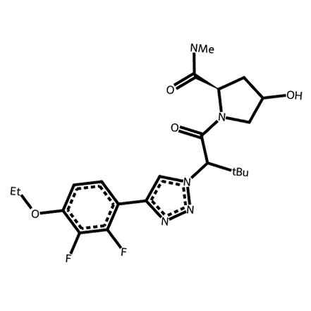 CCOc1ccc(-c2cn(C(C(=O)N3CC(O)C[C@@H]3C(=O)NC)C(C)(C)C)nn2)c(F)c1F